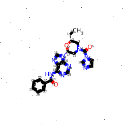 CC[C@@H]1CN(C(=O)n2ccnc2)C[C@H](n2cnc3c(NC(=O)c4ccccc4)ncnc32)O1